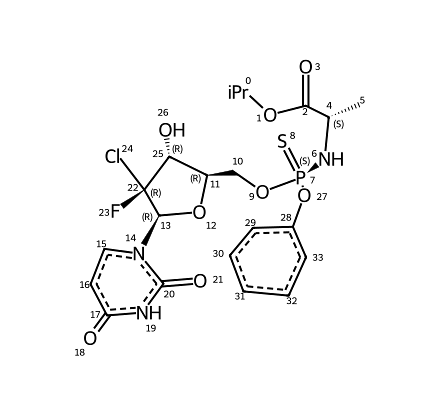 CC(C)OC(=O)[C@H](C)N[P@](=S)(OC[C@H]1O[C@@H](n2ccc(=O)[nH]c2=O)[C@](F)(Cl)[C@@H]1O)Oc1ccccc1